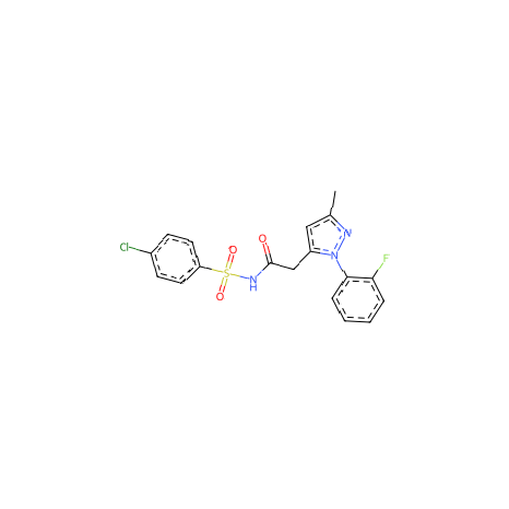 Cc1cc(CC(=O)NS(=O)(=O)c2ccc(Cl)cc2)n(-c2ccccc2F)n1